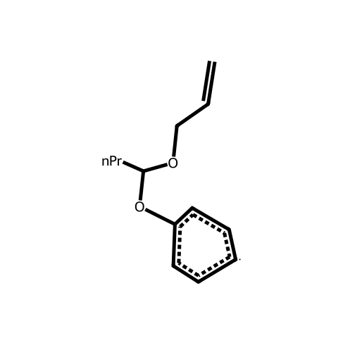 C=CCOC(CCC)Oc1cc[c]cc1